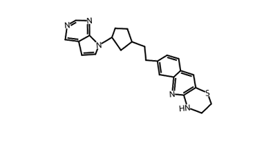 c1ncc2ccn(C3CCC(CCc4ccc5cc6c(nc5c4)NCCS6)C3)c2n1